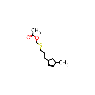 CC(=O)OCSCCCC1C=CC(C)C1